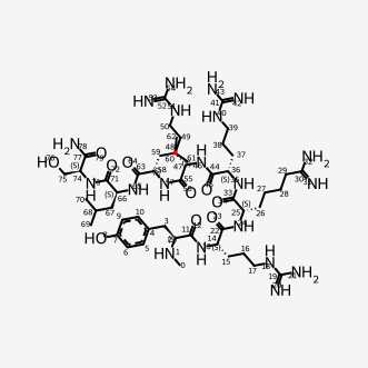 CN[C@@H](Cc1ccc(O)cc1)C(=O)N[C@@H](CCCNC(=N)N)C(=O)N[C@@H](CCCCC(=N)N)C(=O)N[C@@H](CCCNC(=N)N)C(=O)N[C@@H](CCCNC(=N)N)C(=O)N[C@@H](CC(C)C)C(=O)N[C@@H](CC(C)C)C(=O)N[C@@H](CO)C(N)=O